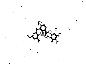 CCc1ccc(Nc2c(C(=O)Oc3c(F)c(F)c(F)c(F)c3F)ccc(F)c2F)c(F)c1